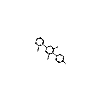 Fc1ccc(-c2c(F)cc(-c3ccccc3F)cc2F)cc1